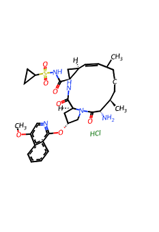 COc1cnc(O[C@@H]2C[C@H]3C(=O)N[C@]4(C(=O)NS(=O)(=O)C5CC5)C[C@H]4C=CC(C)CCC[C@@H](C)[C@H](N)C(=O)N3C2)c2ccccc12.Cl